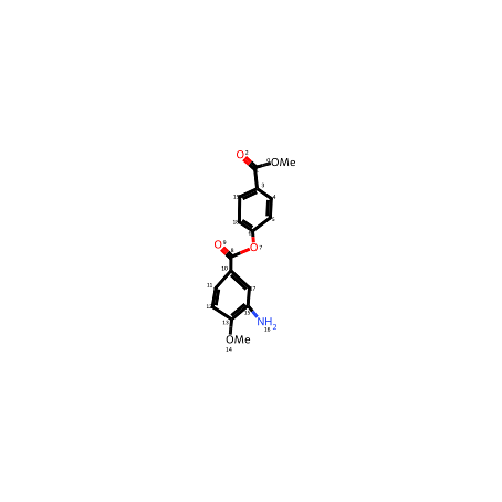 COC(=O)c1ccc(OC(=O)c2ccc(OC)c(N)c2)cc1